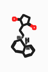 O=C1CCC(=O)C1CC[C@H]1C=CC=C2C=CC=C[C@@H]21